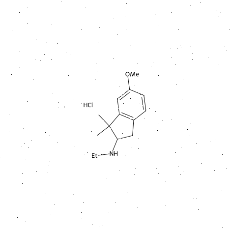 CCNC1Cc2ccc(OC)cc2C1(C)C.Cl